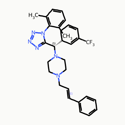 Cc1cccc(C)c1-n1nnnc1[C@H](C1C=C(C(F)(F)F)C=CC1)N1CCN(C/C=C/c2ccccc2)CC1